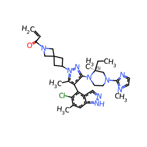 C=CC(=O)N1CC2(CC(n3nc(N4CCN(c5nccn5C)C[C@]4(C)CC)c(-c4c(Cl)c(C)cc5[nH]ncc45)c3C)C2)C1